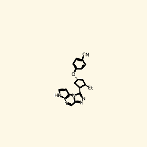 CC[C@@H]1C[C@@H](Oc2ccc(C#N)cc2)C[C@@H]1c1nnc2cnc3[nH]ccc3n12